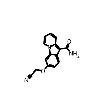 N#CCOc1ccc2c(C(N)=O)c3ccccn3c2c1